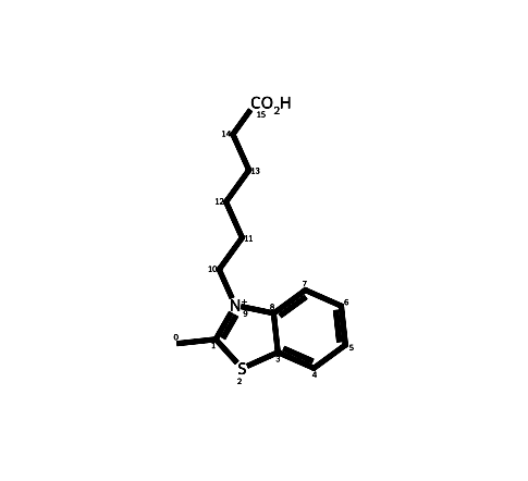 Cc1sc2ccccc2[n+]1CCCCCC(=O)O